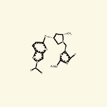 CC(=O)Nc1nc(F)c(CN2C[C@H](Oc3ccc4nn(C(F)F)cc4n3)C[C@@H]2C)s1